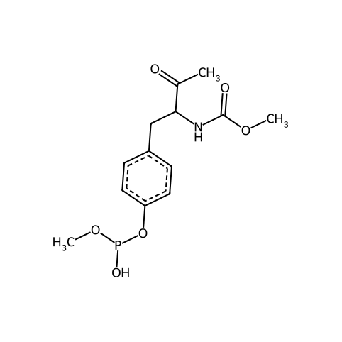 COC(=O)NC(Cc1ccc(OP(O)OC)cc1)C(C)=O